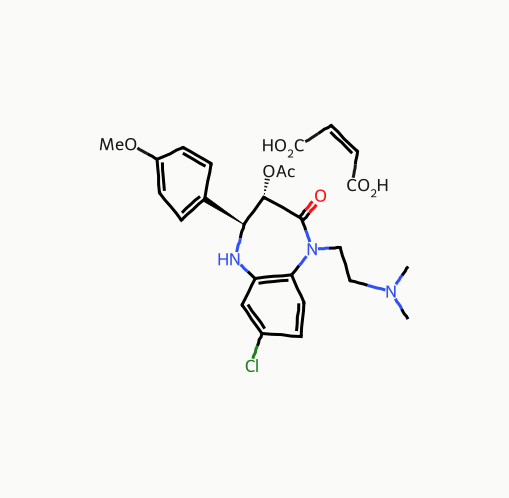 COc1ccc([C@@H]2Nc3cc(Cl)ccc3N(CCN(C)C)C(=O)[C@H]2OC(C)=O)cc1.O=C(O)/C=C\C(=O)O